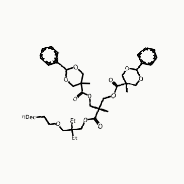 CCCCCCCCCCCCOCC(CC)(CC)COC(=O)C(C)(COC(=O)C1(C)COC(c2ccccc2)OC1)COC(=O)C1(C)COC(c2ccccc2)OC1